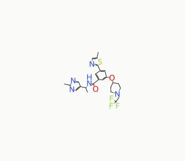 Cc1ncc(C(C)NC(=O)c2cc(OC3CCN(CC(F)(F)F)CC3)cc(-c3ncc(C)s3)c2)cn1